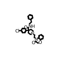 O=C1COc2ccccc2N1CCN1CCC(C(=O)NCCc2ccccc2)(c2ccc(Cl)cc2)CC1